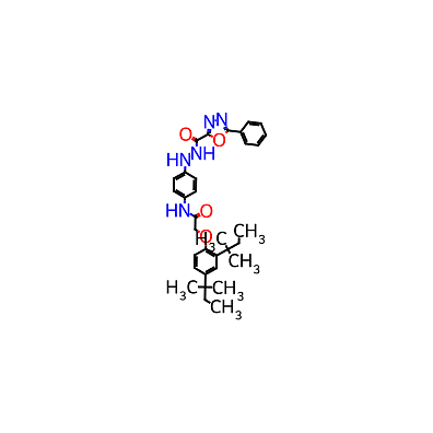 CCC(C)(C)c1ccc(OCC(=O)Nc2ccc(NNC(=O)c3nnc(-c4ccccc4)o3)cc2)c(C(C)(C)CC)c1